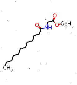 CCCCCCCCCCCC(=O)NCC(=O)[O][GeH3]